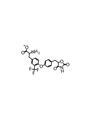 COC(=O)C(N)Cc1ccc(Oc2ccc(CC3OC(=O)NC3=O)cc2)c(C(F)(F)F)c1